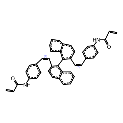 C=CC(=O)Nc1ccc(/C=C\c2ccc3ccccc3c2-c2c(/C=C\c3ccc(NC(=O)C=C)cc3)ccc3ccccc23)cc1